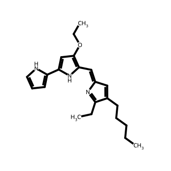 CCCCCC1=C/C(=C/c2[nH]c(-c3ccc[nH]3)cc2OCC)N=C1CC